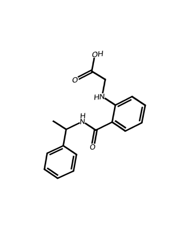 CC(NC(=O)c1ccccc1NCC(=O)O)c1ccccc1